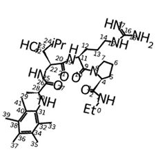 CCNC(=O)[C@@H]1CCCN1C(=O)[C@H](CCCNC(=N)N)NC(=O)[C@H](CC(C)C)NC(=O)[C@H](C)Nc1c(C)c(C)c(C)c(C)c1C.Cl